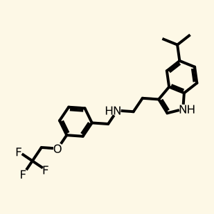 CC(C)c1ccc2[nH]cc(CCNCc3cccc(OCC(F)(F)F)c3)c2c1